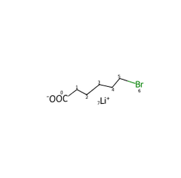 O=C([O-])CCCCCBr.[Li+]